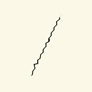 CCCCCCCCC=CCCCCCCCCCCCCBr